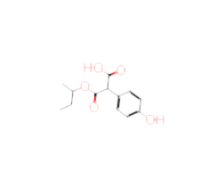 CCC(C)OC(=O)C(C(=O)O)c1ccc(O)cc1